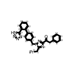 CC(C)Cc1nc(C(=O)Cc2ccccc2)nn1Cc1ccc(-c2ccccc2-c2nnn[nH]2)cc1